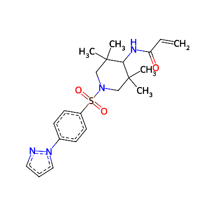 C=CC(=O)NC1C(C)(C)CN(S(=O)(=O)c2ccc(-n3cccn3)cc2)CC1(C)C